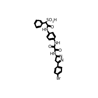 O=C(NC1=NN=C(c2ccc(Br)cc2)C1)C(=O)Nc1ccc(NC(=O)C(c2ccccc2)S(=O)(=O)O)cc1